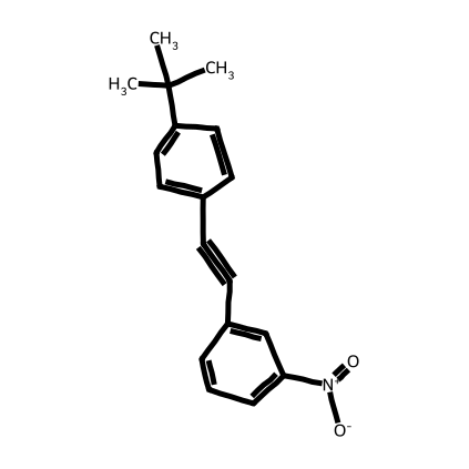 CC(C)(C)c1ccc(C#Cc2cccc([N+](=O)[O-])c2)cc1